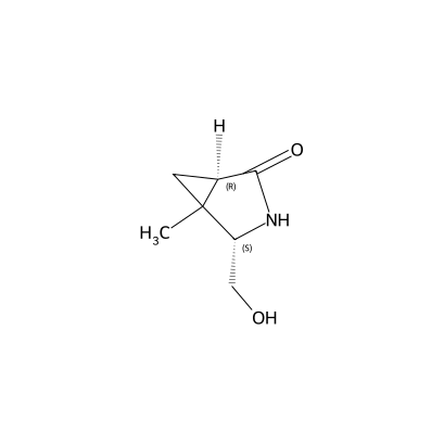 CC12C[C@H]1C(=O)N[C@@H]2CO